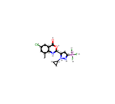 Cc1cc(Cl)cc2c(=O)oc(-c3cc([PH](F)(F)F)nn3C3CC3)nc12